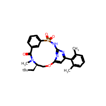 Cc1cccc(C)c1-c1cc2nc(n1)NS(=O)(=O)c1cccc(c1)C(=O)N(C)[C@H](CC(C)(C)C)CO2